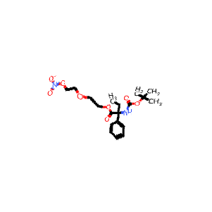 CCC(NC(=O)OC(C)(C)C)(C(=O)OCCOCCO[N+](=O)[O-])c1ccccc1